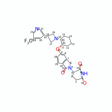 O=C1CCC(N2Cc3cc(O[C@@H]4CCCC[C@H]4N4CC(c5cncc(C(F)(F)F)c5)C4)ccc3C2=O)C(=O)N1